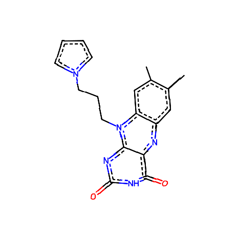 Cc1cc2nc3c(=O)[nH]c(=O)nc-3n(CCCn3cccc3)c2cc1C